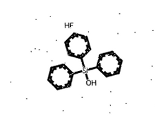 F.O[Si](c1ccccc1)(c1ccccc1)c1ccccc1